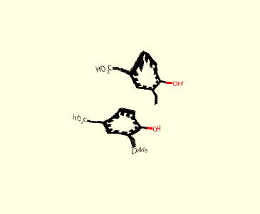 COc1cc(C(=O)O)ccc1O.Cc1cc(C(=O)O)ccc1O